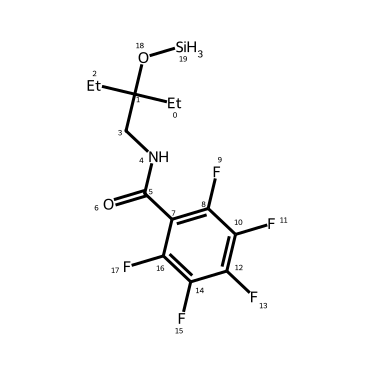 CCC(CC)(CNC(=O)c1c(F)c(F)c(F)c(F)c1F)O[SiH3]